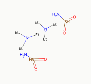 CCN(CC)CC.CCN(CC)CC.N[SH](=O)=O.N[SH](=O)=O